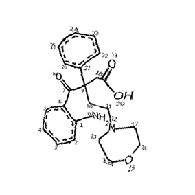 Nc1ccccc1C(=O)C(CCN1CCOCC1)(C(=O)O)c1ccccc1